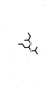 CCCC(OC(C)C)OC(C)CC